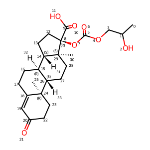 CC(O)COC(=O)O[C@]1(C(=O)O)CC[C@H]2[C@@H]3CCC4=CC(=O)CC[C@]4(C)[C@H]3CC[C@@]21C